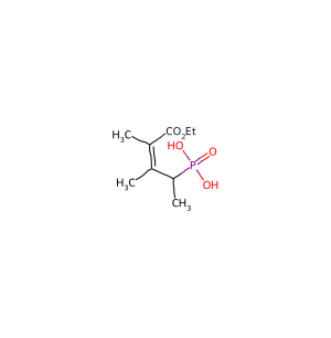 CCOC(=O)C(C)=C(C)C(C)P(=O)(O)O